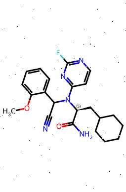 COc1ccccc1C(C#N)N(c1ccnc(F)n1)[C@@H](CC1CCCCC1)C(N)=O